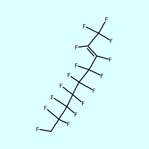 FCC(F)(F)C(F)(F)C(F)(F)C(F)(F)C(F)(F)C(F)=C(F)C(F)(F)F